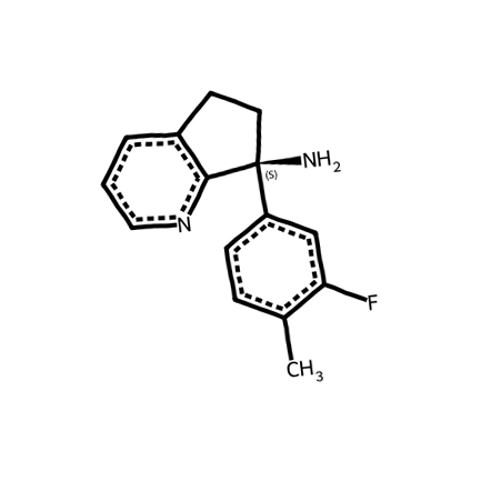 Cc1ccc([C@@]2(N)CCc3cccnc32)cc1F